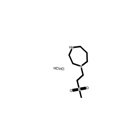 CS(=O)(=O)CCN1CCCNCC1.Cl.Cl